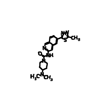 Cc1nnc(-c2ccc3cnc(NC(=O)N4CCC(N(C)C)CC4)cc3c2)s1